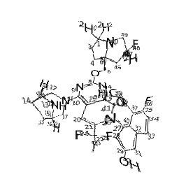 [2H]C1([2H])CC[C@@]2(COc3nc(N4C[C@H]5CC[C@@H](C4)N5)c4cc(C(F)(F)F)n(-c5cc(O)cc6ccc(F)c(C#C)c56)c(=O)c4n3)C[C@@]([2H])(F)CN12